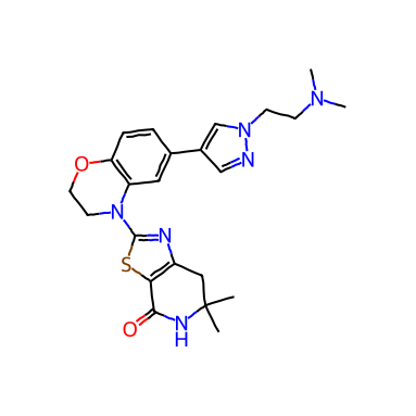 CN(C)CCn1cc(-c2ccc3c(c2)N(c2nc4c(s2)C(=O)NC(C)(C)C4)CCO3)cn1